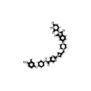 Cc1cc(O[C@H]2CC[C@H](NC(=O)c3cnc(N4CC(CN5CCN(c6ccc7c(c6)C(=O)N(C6CCC(=O)NC6=O)C7=O)CC5)C4)nc3)CC2)ccc1C#N